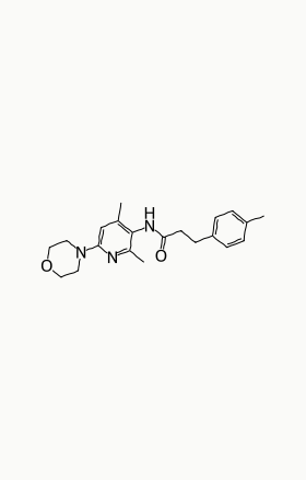 Cc1ccc(CCC(=O)Nc2c(C)cc(N3CCOCC3)nc2C)cc1